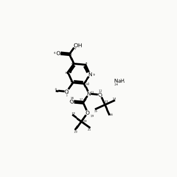 COc1cc(C(=O)O)cnc1N(OC(C)(C)C)C(=O)OC(C)(C)C.[NaH]